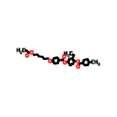 C=CC(=O)OCCCCCCOc1ccc(C(=O)Oc2ccc(OC(=O)c3ccc(C)cc3)c(C=C)c2)cc1